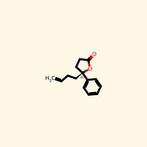 C=CCC[C@@]1(c2ccccc2)CCC(=O)O1